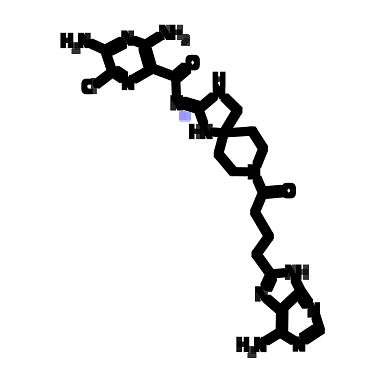 Nc1nc(N)c(C(=O)/N=C2\NCC3(CCN(C(=O)CCCc4nc5c(N)ncnc5[nH]4)CC3)N2)nc1Cl